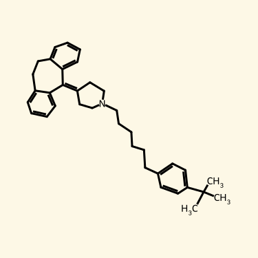 CC(C)(C)c1ccc(CCCCCCN2CCC(=C3c4ccccc4CCc4ccccc43)CC2)cc1